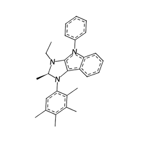 CCN1c2c(c3ccccc3n2-c2ccccc2)N(c2cc(C)c(C)c(C)c2C)[C@H]1C